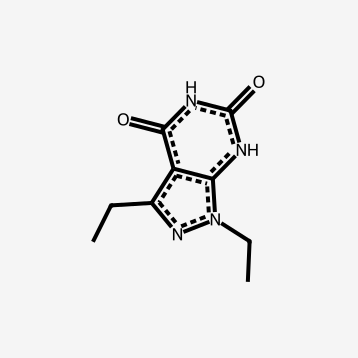 CCc1nn(CC)c2[nH]c(=O)[nH]c(=O)c12